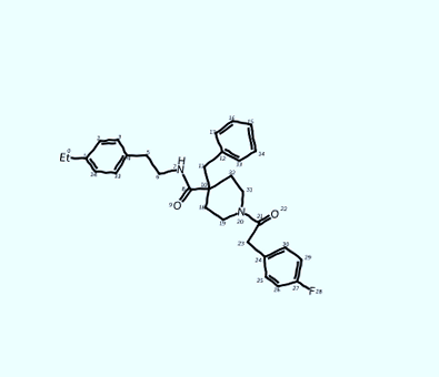 CCc1ccc(CCNC(=O)C2(Cc3ccccc3)CCN(C(=O)Cc3ccc(F)cc3)CC2)cc1